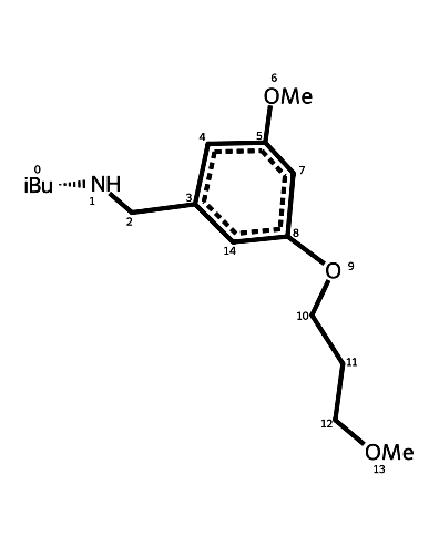 CC[C@@H](C)NCc1cc(OC)cc(OCCCOC)c1